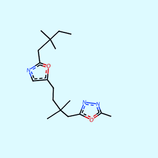 CCC(C)(C)Cc1ncc(CCC(C)(C)Cc2nnc(C)o2)o1